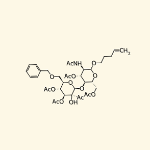 C=CCCCOC1O[C@H](COC(C)=O)[C@@H](O[C@@H]2O[C@H](COCc3ccccc3)[C@@H](OC(C)=O)[C@H](OC(C)=O)[C@@]2(O)C(C)=O)[C@H](OC(C)=O)[C@H]1NC(C)=O